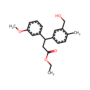 CCOC(=O)CC(c1cccc(OC)c1)c1ccc(C)c(CO)c1